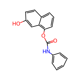 O=C(Nc1ccccc1)Oc1cccc2ccc(O)cc12